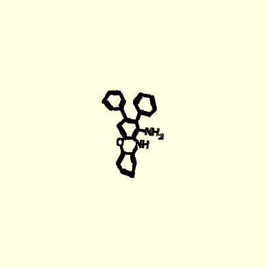 Nc1c2c(cc(-c3ccccc3)c1-c1ccccc1)Oc1ccccc1N2